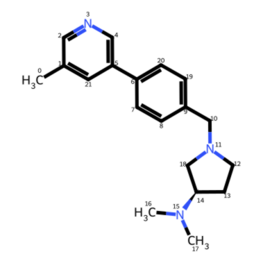 Cc1cncc(-c2ccc(CN3CC[C@@H](N(C)C)C3)cc2)c1